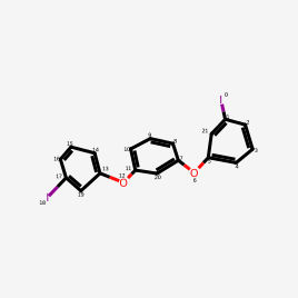 Ic1cccc(Oc2cccc(Oc3cccc(I)c3)c2)c1